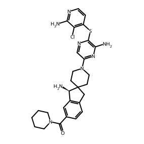 Nc1nc(N2CCC3(CC2)Cc2ccc(C(=O)N4CCCCC4)cc2[C@H]3N)cnc1Sc1ccnc(N)c1Cl